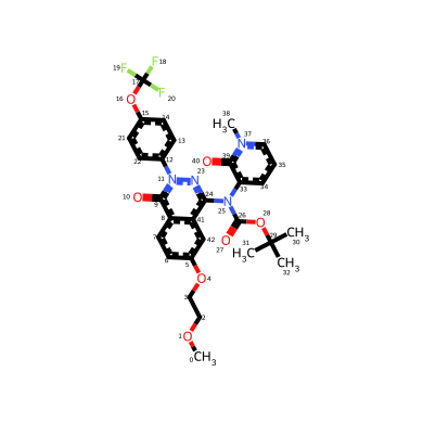 COCCOc1ccc2c(=O)n(-c3ccc(OC(F)(F)F)cc3)nc(N(C(=O)OC(C)(C)C)c3cccn(C)c3=O)c2c1